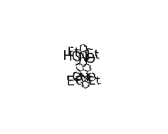 CCc1cccc(CC)c1N1C(=O)c2ccc3c4c(ccc(c24)C1=O)C(O)N(c1c(CC)cccc1CC)C3=O